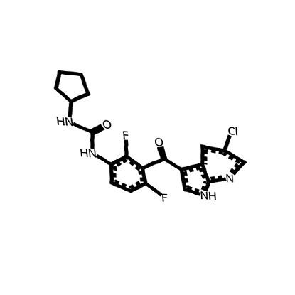 O=C(Nc1ccc(F)c(C(=O)c2c[nH]c3ncc(Cl)cc23)c1F)NC1CCCC1